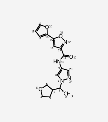 C[C@@H](C1CCOC1)n1cc(NC(=O)c2cc(-c3ccco3)on2)cn1